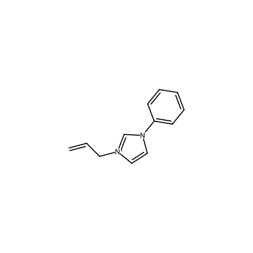 C=CC[n+]1ccn(-c2ccccc2)c1